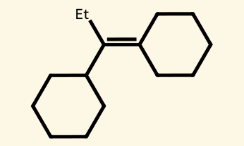 CCC(=C1CCCCC1)C1CCCCC1